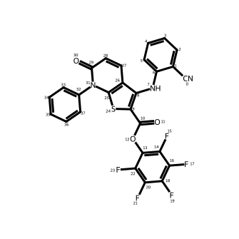 N#Cc1ccccc1Nc1c(C(=O)Oc2c(F)c(F)c(F)c(F)c2F)sc2c1ccc(=O)n2-c1ccccc1